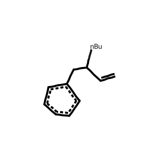 C=CC(CCCC)Cc1ccccc1